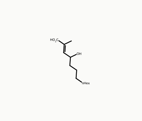 CCCCCCCCCC(O)C=C(C)C(=O)O